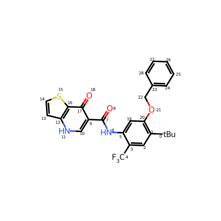 CC(C)(C)c1cc(C(F)(F)F)c(NC(=O)c2c[nH]c3ccsc3c2=O)cc1OCc1ccccc1